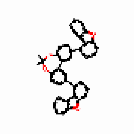 CC1(C)Oc2ccc(-c3cccc4oc5ccccc5c34)cc2-c2cc(-c3cccc4oc5ccccc5c34)ccc2O1